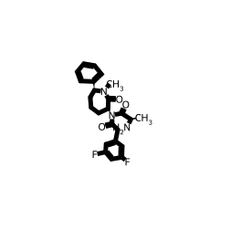 C[C@H](N)C(=O)N(C(=O)Cc1cc(F)cc(F)c1)[C@@H]1CCC[C@H](c2ccccc2)N(C)C1=O